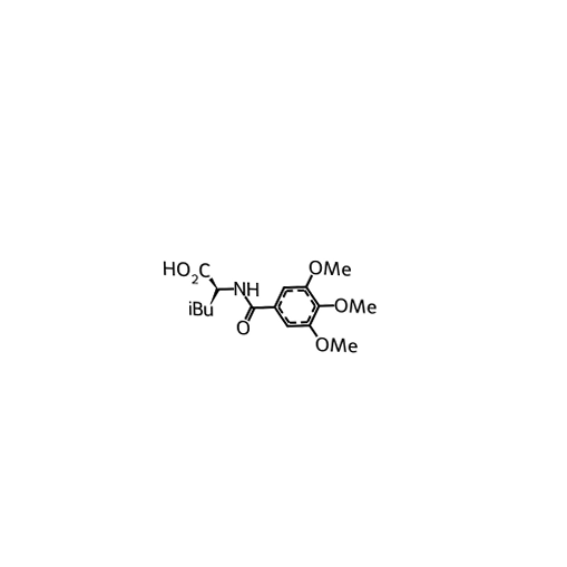 CC[C@H](C)[C@H](NC(=O)c1cc(OC)c(OC)c(OC)c1)C(=O)O